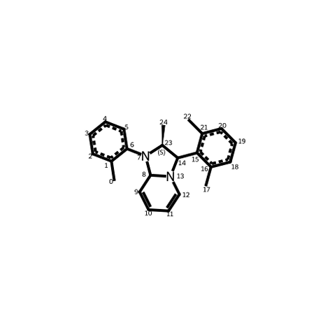 Cc1ccccc1N1C2C=CC=CN2C(c2c(C)cccc2C)[C@@H]1C